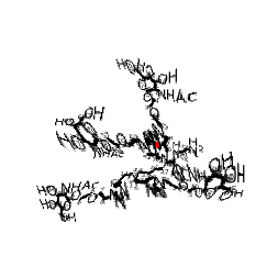 CC(=O)NC1C(OCCOCCn2cc(CN(CCCC[C@@H](C(=O)NCCN)N(Cc3cn(CCOCCOC4OC(CO)C(O)C(O)C4NC(C)=O)nn3)Cc3cn(CCOCCOC4OC(CO)C(O)C(O)C4NC(C)=O)nn3)Cc3cn(CCOCCOC4OC(CO)C(O)C(O)C4NC(C)=O)nn3)nn2)OC(CO)C(O)C1O